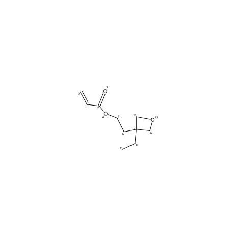 C=CC(=O)OCCC1(CC)COC1